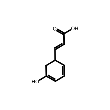 O=C(O)C=CC1C=CC=C(O)C1